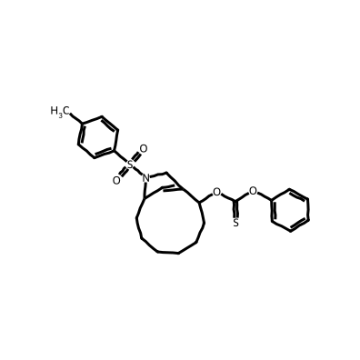 Cc1ccc(S(=O)(=O)N2CC3=CC2CCCCCCC3OC(=S)Oc2ccccc2)cc1